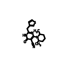 CC1CCCC(C)N1c1nc(Cc2ccsc2)[nH]c(=O)c1C#N